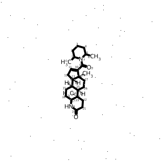 CC1CCCC(C)N1C(=O)C1=CC[C@H]2[C@@H]3CCC4NC(=O)CC[C@]4(C)[C@@H]3CC[C@]12C